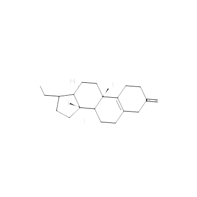 C[C@]12CC[C@@H]3C4=C(CC[C@H]3[C@@H]1CC[C@@]2(O)CBr)CC(=O)CC4